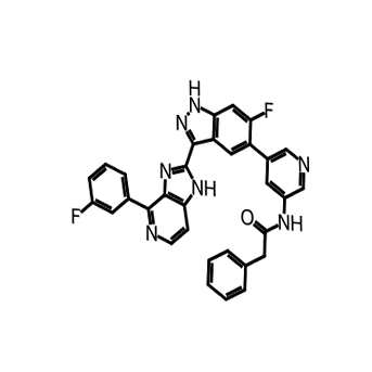 O=C(Cc1ccccc1)Nc1cncc(-c2cc3c(-c4nc5c(-c6cccc(F)c6)nccc5[nH]4)n[nH]c3cc2F)c1